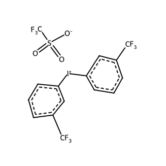 FC(F)(F)c1cccc([I+]c2cccc(C(F)(F)F)c2)c1.O=S(=O)([O-])C(F)(F)F